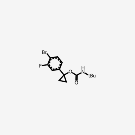 CC(C)(C)NC(=O)OC1(c2ccc(Br)c(F)c2)CC1